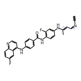 C#C/N=C\C=C(/C)Nc1ccc(NC(=O)c2ccc(Nc3ccnc4ccc(F)cc34)cc2)c(F)c1